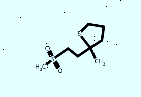 CC1(CCS(C)(=O)=O)CCCS1